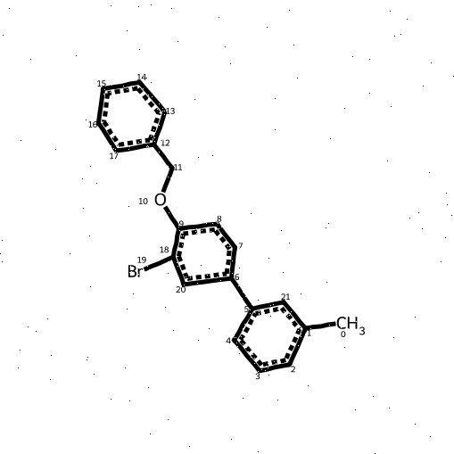 Cc1cccc(-c2ccc(OCc3ccccc3)c(Br)c2)c1